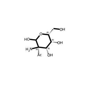 CC(=O)[C@]1(N)C(O)O[C@H](CO)[C@H](O)[C@@H]1O